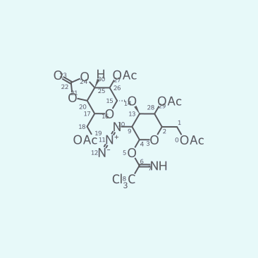 CC(=O)OCC1OC(OC(=N)C(Cl)(Cl)Cl)C(N=[N+]=[N-])[C@@H](O[C@@H]2OC(COC(C)=O)C3OC(=O)O[C@@H]3C2OC(C)=O)C1OC(C)=O